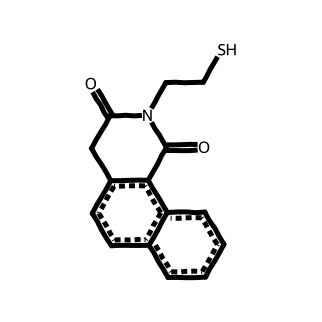 O=C1Cc2ccc3ccccc3c2C(=O)N1CCS